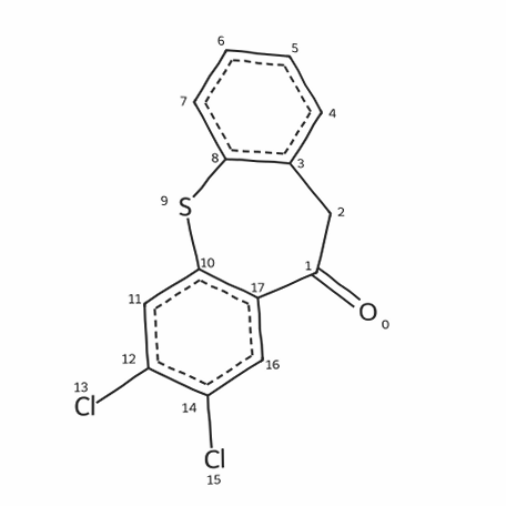 O=C1Cc2ccccc2Sc2cc(Cl)c(Cl)cc21